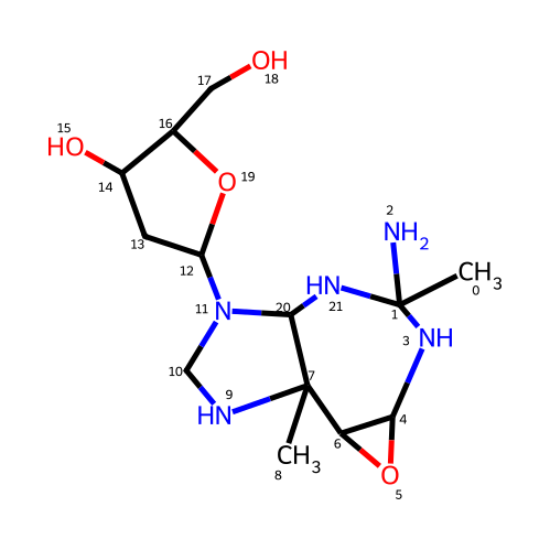 CC1(N)NC2OC2C2(C)NCN(C3CC(O)C(CO)O3)C2N1